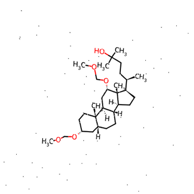 COCO[C@@H]1CC[C@@]2(C)[C@H](CC[C@@H]3[C@@H]2C[C@H](OCOC)[C@]2(C)[C@@H]([C@H](C)CCC(C)(C)O)CC[C@@H]32)C1